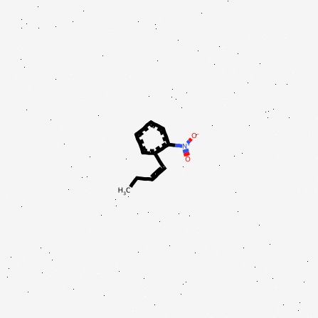 CC/C=[C]\c1ccccc1[N+](=O)[O-]